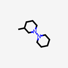 CC1CCCN(N2CCCCC2)C1